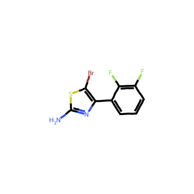 Nc1nc(-c2cccc(F)c2F)c(Br)s1